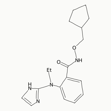 CCN(c1ncc[nH]1)c1ccccc1C(=O)NOCC1CCCC1